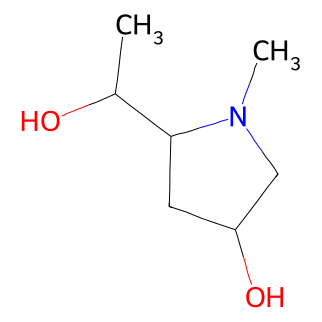 CC(O)C1CC(O)CN1C